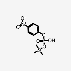 C[Si](C)(C)OP(=O)(O)Oc1ccc([N+](=O)[O-])cc1